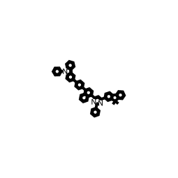 CC1(C)c2ccccc2-c2ccc(-c3cc(-c4ccc(-c5ccc(-c6ccc7c(c6)c6ccccc6n7-c6ccccc6)cc5)c5ccccc45)nc(-c4ccccc4)n3)cc21